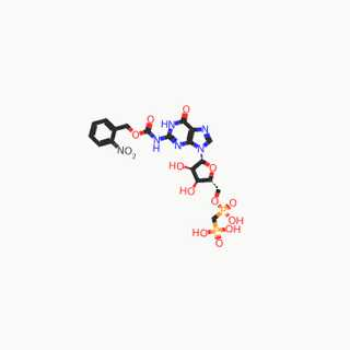 O=C(Nc1nc2c(ncn2[C@@H]2O[C@H](COP(=O)(O)CP(=O)(O)O)[C@@H](O)[C@H]2O)c(=O)[nH]1)OCc1ccccc1[N+](=O)[O-]